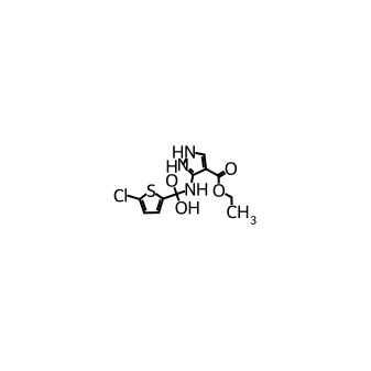 CCOC(=O)c1c[nH]nc1NC(O)(O)c1ccc(Cl)s1